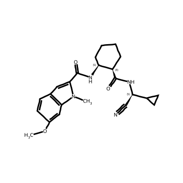 COc1ccc2cc(C(=O)N[C@H]3CCCC[C@H]3C(=O)N[C@H](C#N)C3CC3)n(C)c2c1